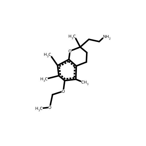 COCOc1c(C)c(C)c2c(c1C)CCC(C)(CCN)O2